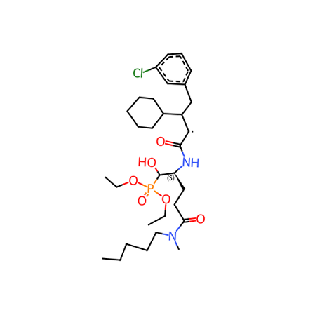 CCCCCN(C)C(=O)CC[C@H](NC(=O)[CH]C(Cc1cccc(Cl)c1)C1CCCCC1)C(O)P(=O)(OCC)OCC